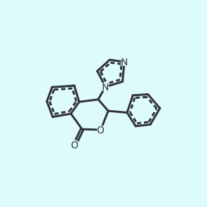 O=C1OC(c2ccccc2)C(n2ccnc2)c2ccccc21